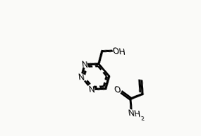 C=CC(N)=O.OCc1ccnnn1